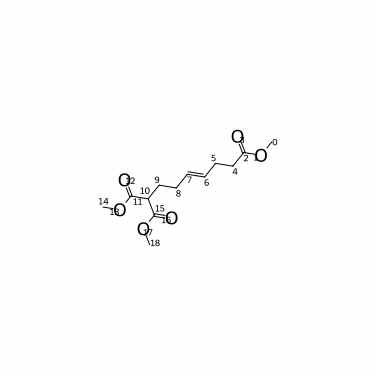 COC(=O)CCC=CCCC(C(=O)OC)C(=O)OC